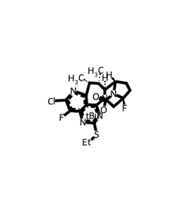 CCSc1nc2c3c(nc(Cl)c(F)c3n1)[C@H](C)[C@H](C)[C@H]1[C@@H]3CC[C@](F)(CN21)N3C(=O)OC(C)(C)C